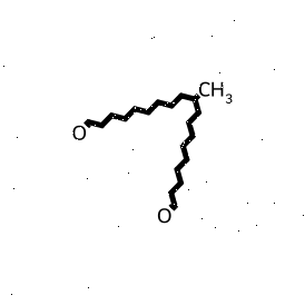 CC(CCCCCCCCC=O)CCCCCCCCC=O